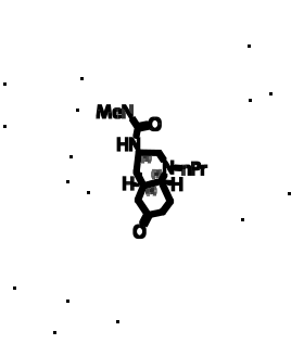 CCCN1C[C@@H](NC(=O)NC)C[C@@H]2CC(=O)CC[C@H]21